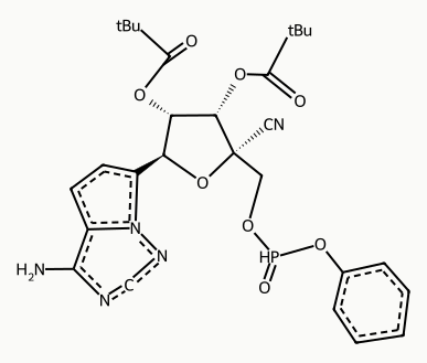 CC(C)(C)C(=O)O[C@H]1[C@H](c2ccc3c(N)ncnn23)O[C@](C#N)(CO[PH](=O)Oc2ccccc2)[C@H]1OC(=O)C(C)(C)C